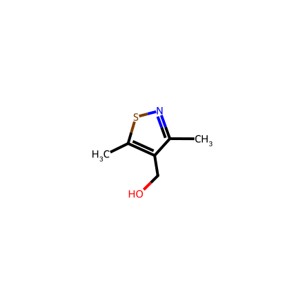 Cc1nsc(C)c1CO